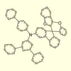 c1ccc(-c2ccc(N(c3cc(-c4ccccc4)cc(-c4ccccc4)c3)c3ccc4c(c3)-c3ccccc3C43c4ccccc4Oc4c3oc3ccccc43)cc2)cc1